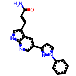 NC(=O)C=Cc1c[nH]c2ncc(-c3ccn(-c4ccccc4)n3)cc12